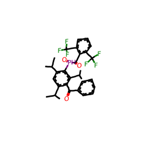 CC(C)c1cc(C(C)C)c([PH](=O)C(=O)c2c(C(F)(F)F)cccc2C(F)(F)F)c(C(C)C)c1C(=O)c1ccccc1